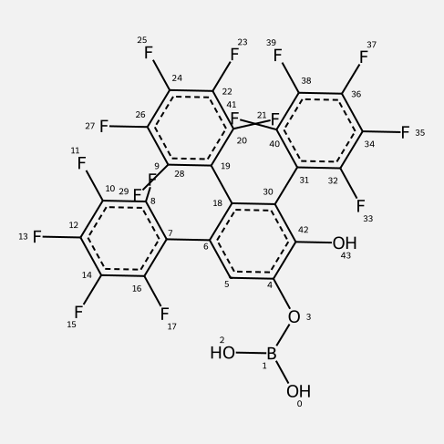 OB(O)Oc1cc(-c2c(F)c(F)c(F)c(F)c2F)c(-c2c(F)c(F)c(F)c(F)c2F)c(-c2c(F)c(F)c(F)c(F)c2F)c1O